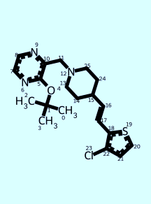 CC(C)(C)Oc1nccnc1CN1CCC(C=Cc2sccc2Cl)CC1